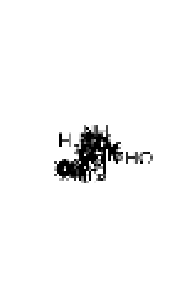 C=C(NC=O)C1CCN(C(=N)N)C(n2c(C)ccc(NS(=O)(=O)Cc3ccccc3)c2=O)C1.Cl